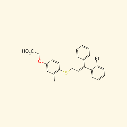 CCc1ccccc1C(=CCSc1ccc(OCC(=O)O)cc1C)c1ccccc1